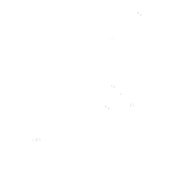 CN1CCNC(C)(C)C1(C)C.O=C(CCCCCCCCC(=O)OC1CCNCC1)OC1CCNCC1